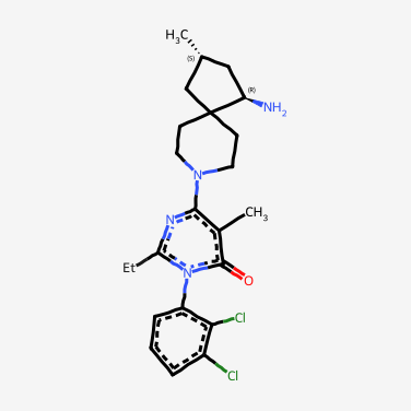 CCc1nc(N2CCC3(CC2)C[C@H](C)C[C@H]3N)c(C)c(=O)n1-c1cccc(Cl)c1Cl